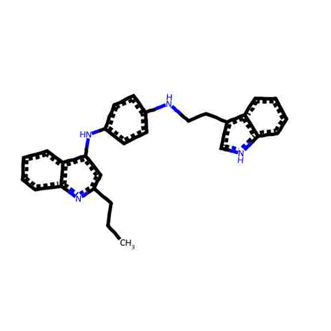 CCCc1cc(Nc2ccc(NCCc3c[nH]c4ccccc34)cc2)c2ccccc2n1